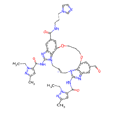 CCn1nc(C)cc1C(=O)Nc1nc2cc(C=O)cc3c2n1C/C=C/Cn1c(NC(=O)c2cc(C)nn2CC)nc2cc(C(=O)NCCCn4ccnc4)cc(c21)OCCCO3